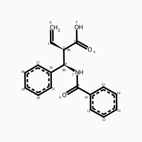 C=C[C@@H](C(=O)O)[C@@H](NC(=O)c1ccccc1)c1ccccc1